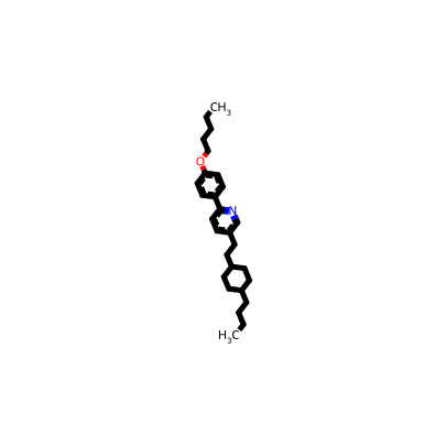 CCCCCOc1ccc(-c2ccc(CCC3CCC(CCCC)CC3)cn2)cc1